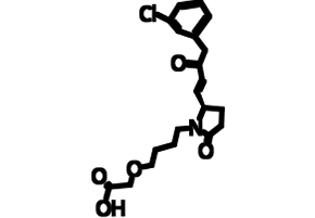 O=C(O)COCCCCN1C(=O)CC[C@@H]1C=CC(=O)Cc1cccc(Cl)c1